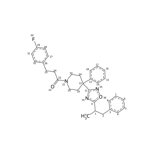 CC(Cc1ccccc1)c1nc(C2(c3ccccc3)CCN(C(=O)CCc3ccc(F)cc3)CC2)no1